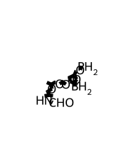 BC1OC(COP)CC1OCOCC(C)OCC(C)(C)NC=O